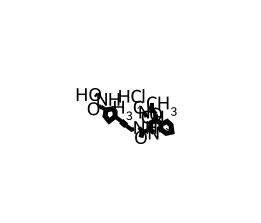 CC(Oc1cc(C(=O)NCC#Cc2ccc(C(=O)NO)cc2)nc2ccccc12)N(C)C.Cl